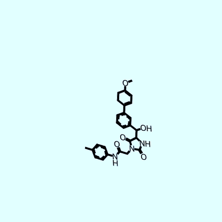 COC1=CC=C(c2cccc(C(O)C3NC(=O)N(CC(=O)Nc4ccc(C)cc4)C3=O)c2)CC1